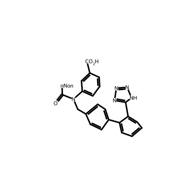 CCCCCCCCCC(=O)N(Cc1ccc(-c2ccccc2-c2nnn[nH]2)cc1)c1cccc(C(=O)O)c1